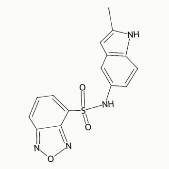 Cc1cc2cc(NS(=O)(=O)c3cccc4nonc34)ccc2[nH]1